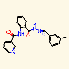 Cc1cccc(/C=N/NC(=O)c2ccccc2NC(=O)c2cccnc2)c1